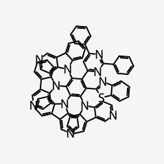 c1ccc(-c2cc(-c3c(-c4nc5ccccc5s4)c(-n4c5ccccc5c5cnccc54)c(-n4c5ccccc5c5cnccc54)c(-n4c5ccccc5c5cnccc54)c3-n3c4ccccc4c4cnccc43)nc(-c3ccccc3)n2)cc1